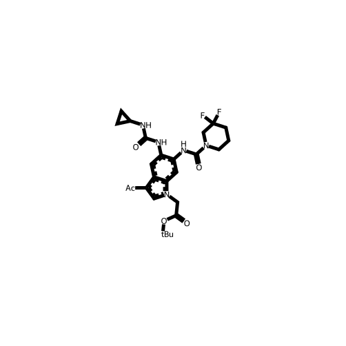 CC(=O)c1cn(CC(=O)OC(C)(C)C)c2cc(NC(=O)N3CCCC(F)(F)C3)c(NC(=O)NC3CC3)cc12